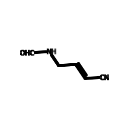 N#CC=CCNC=O